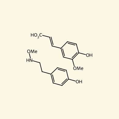 CONCCc1ccc(O)cc1.COc1cc(C=CC(=O)O)ccc1O